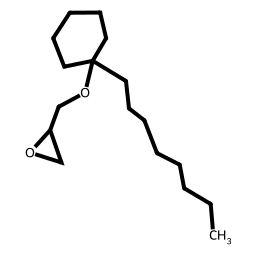 CCCCCCCCC1(OCC2CO2)CCCCC1